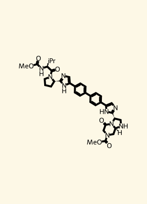 COC(=O)N[C@H](C(=O)N1CCC[C@H]1c1ncc(-c2ccc(-c3ccc(-c4cnc([C@@H]5CN[C@H]6CN(C(=O)OC)CC(=O)N65)[nH]4)cc3)cc2)[nH]1)C(C)C